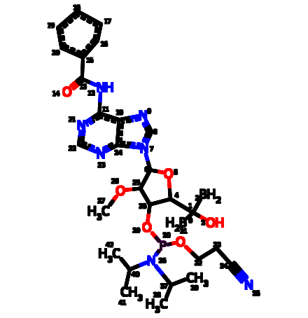 BC(B)(O)C1OC(n2cnc3c(NC(=O)c4ccccc4)ncnc32)C(OC)C1OP(OCCC#N)N(C(C)C)C(C)C